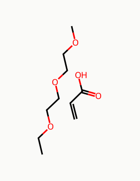 C=CC(=O)O.CCOCCOCCOC